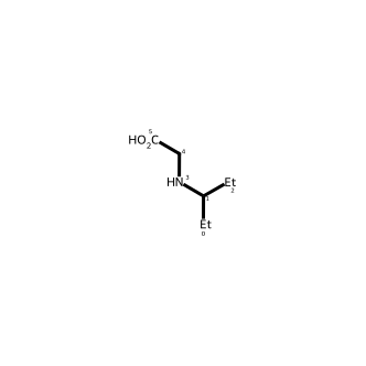 CCC(CC)NCC(=O)O